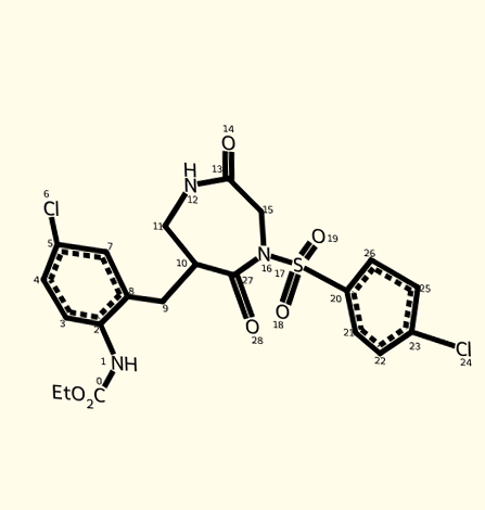 CCOC(=O)Nc1ccc(Cl)cc1CC1CNC(=O)CN(S(=O)(=O)c2ccc(Cl)cc2)C1=O